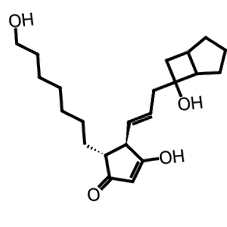 O=C1C=C(O)[C@H](/C=C/CC2(O)CC3CCCC32)[C@H]1CCCCCCCO